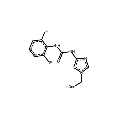 CCCCCCCCCCCn1cnc(NC(=O)Nc2c(C(C)C)cccc2C(C)C)n1